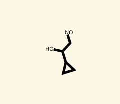 O=NCC(O)C1CC1